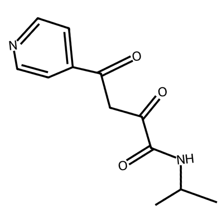 CC(C)NC(=O)C(=O)CC(=O)c1ccncc1